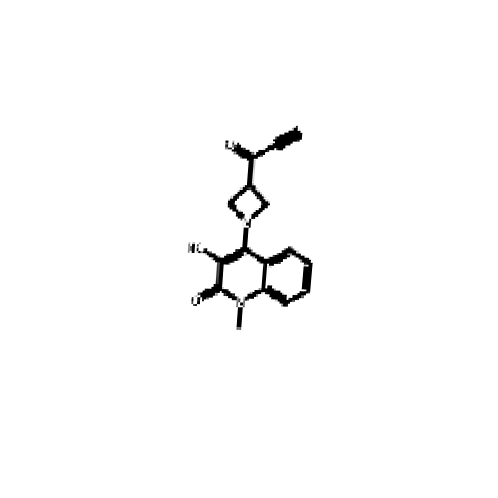 C#CC(=O)C1CN(c2c(C#N)c(=O)n(C)c3ccccc23)C1